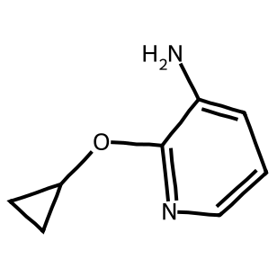 Nc1cccnc1OC1CC1